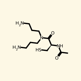 CC(=O)N[C@@H](CS)C(=O)N(CCCN)CCCN